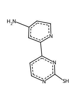 Nc1ccnc(-c2ccnc(S)n2)c1